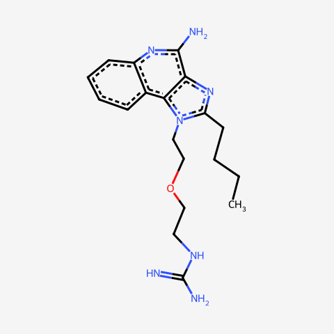 CCCCc1nc2c(N)nc3ccccc3c2n1CCOCCNC(=N)N